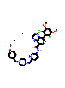 COc1ccc(CN2CCN(Cc3ccc(NC(=O)c4ccc(-c5c(Cl)c(OC)cc(OC)c5Cl)c5nccnc45)cn3)CC2)cc1